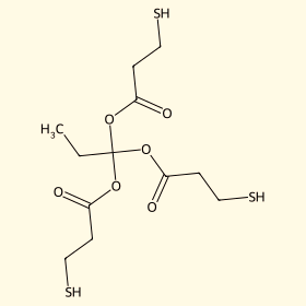 CCC(OC(=O)CCS)(OC(=O)CCS)OC(=O)CCS